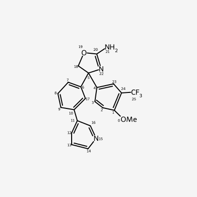 COc1ccc(C2(c3cccc(-c4cccnc4)c3)COC(N)=N2)cc1C(F)(F)F